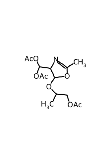 CC(=O)OCC(C)OC1OC(C)=NC1C(OC(C)=O)OC(C)=O